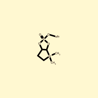 CCCOP1(=O)OC2CC[N+](C)(C)C2O1